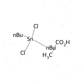 CC(=O)O.CCC[CH2][Sn]([Cl])([Cl])[CH2]CCC